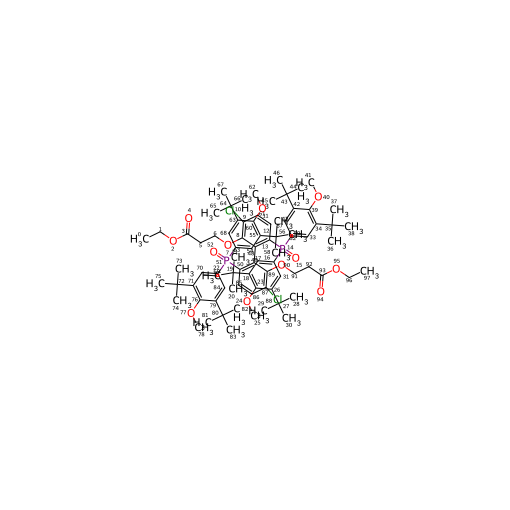 CCOC(=O)CCOc1c(Cl)ccc(P(=O)(c2cc(C(C)(C)C)c(OC)c(C(C)(C)C)c2)c2cc(C(C)(C)C)c(OC)c(C(C)(C)C)c2)c1-c1c(P(=O)(c2cc(C(C)(C)C)c(OC)c(C(C)(C)C)c2)c2cc(C(C)(C)C)c(OC)c(C(C)(C)C)c2)ccc(Cl)c1OCCC(=O)OCC